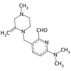 C=C1CN(C)CCN1Cc1ccc(N(C)C)nc1C=O